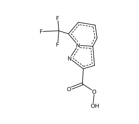 O=C(OO)c1cc2cccc(C(F)(F)F)n2n1